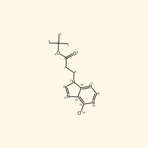 CC(C)(C)OC(=O)CCn1cnc2c(Cl)ncnc21